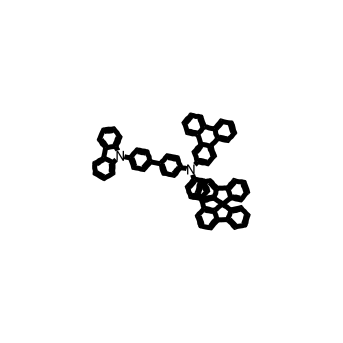 c1ccc2c(c1)-c1ccccc1C21c2ccccc2-c2cccc(-c3ccc(N(c4ccc(-c5ccc(-n6c7ccccc7c7ccccc76)cc5)cc4)c4ccc5c6ccccc6c6ccccc6c5c4)cc3)c21